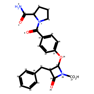 NC(=O)C1CCCN1C(=O)c1ccc(OC2C(Cc3ccccc3)C(=O)N2C(=O)O)cc1